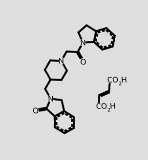 O=C(O)C=CC(=O)O.O=C1c2ccccc2CN1CC1CCN(CC(=O)N2CCc3ccccc32)CC1